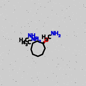 CN.CN.CN.O=C1CCCCCCC1